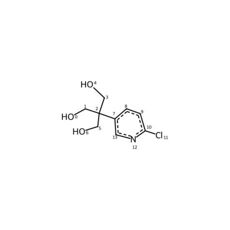 OCC(CO)(CO)c1ccc(Cl)nc1